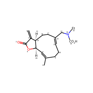 C=C1C(=O)O[C@@H]2/C=C(\C)CC/C=C(\CN(CC)C(=O)O)CC[C@H]12